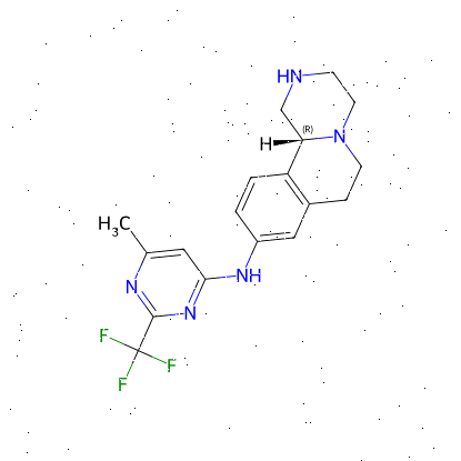 Cc1cc(Nc2ccc3c(c2)CCN2CCNC[C@@H]32)nc(C(F)(F)F)n1